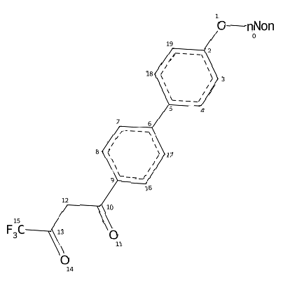 CCCCCCCCCOc1ccc(-c2ccc(C(=O)CC(=O)C(F)(F)F)cc2)cc1